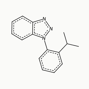 CC(C)c1ccccc1-n1nnc2ccccc21